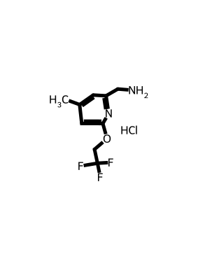 Cc1cc(CN)nc(OCC(F)(F)F)c1.Cl